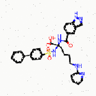 O=C(NC(CCCCNc1ccccn1)(NS(=O)(=O)c1ccc(-c2ccccc2)cc1)C(=O)O)c1ccc2[nH]ncc2c1